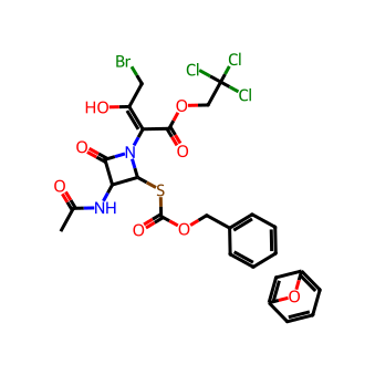 CC(=O)NC1C(=O)N(C(C(=O)OCC(Cl)(Cl)Cl)=C(O)CBr)C1SC(=O)OCc1ccccc1.c1cc2cc(c1)O2